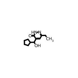 CCc1cc(C(O)C2CCCC2)c(=O)[nH]n1